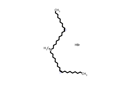 Br.CCCCCCCC/C=C\CCCCCCCCN(C)CCCCCCCC/C=C\CCCCCCCC